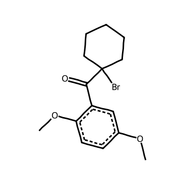 COc1ccc(OC)c(C(=O)C2(Br)CCCCC2)c1